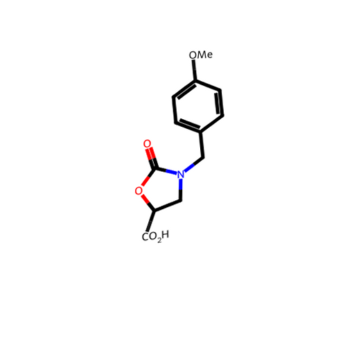 COc1ccc(CN2CC(C(=O)O)OC2=O)cc1